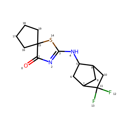 O=C1N=C(NC2CC3CC2CC3(F)F)SC12CCCC2